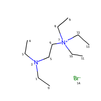 CCN(CC)CC[N+](CC)(CC)CC.[Br-]